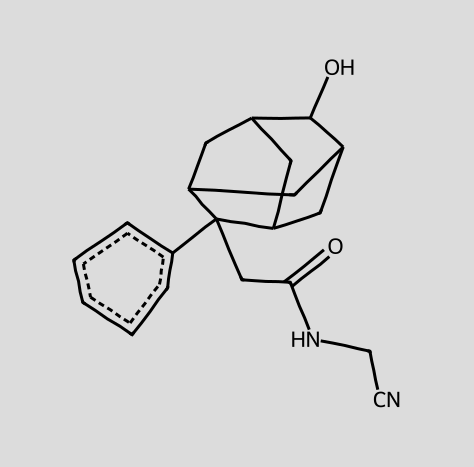 N#CCNC(=O)CC1(c2ccccc2)C2CC3CC1CC(C2)C3O